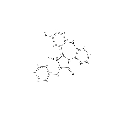 O=C1C2c3ccccc3Oc3ccc(Cl)cc3N2C(=O)N1Cc1ccccc1